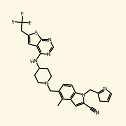 Cc1c(CN2CCC(Nc3ncnc4sc(CC(F)(F)F)cc34)CC2)ccc2c1cc(C#N)n2CC1=NC=CC1